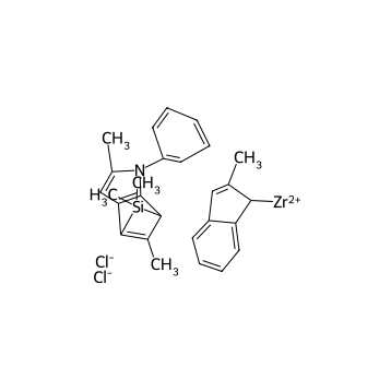 CC1=C2c3cc(C)n(-c4ccccc4)c3C1[Si]2(C)C.CC1=Cc2ccccc2[CH]1[Zr+2].[Cl-].[Cl-]